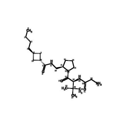 CCCC[C@H]1C[C@H](C(=O)NC[C@H]2CCCN2C(=O)[C@@H](NC(=O)CN)C(C)(C)C)C1